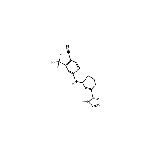 CN(c1ccc(C#N)c(C(F)(F)F)c1)C1C=C(c2cncn2C)CCC1